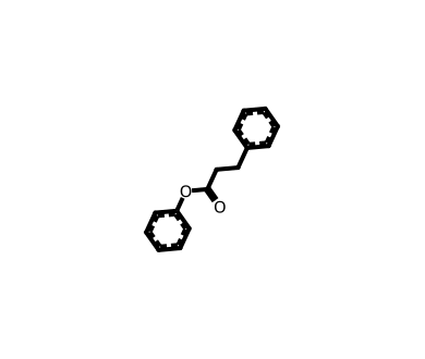 O=C(CCc1ccccc1)Oc1ccccc1